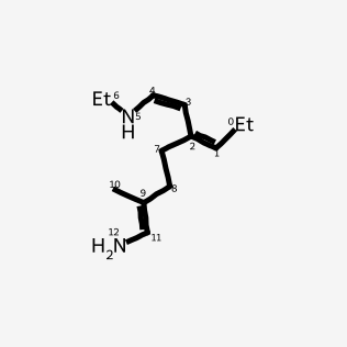 CC/C=C(\C=C/NCC)CC/C(C)=C/N